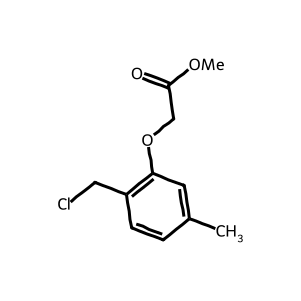 COC(=O)COc1cc(C)ccc1CCl